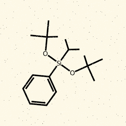 CC(C)[Si](OC(C)(C)C)(OC(C)(C)C)c1ccccc1